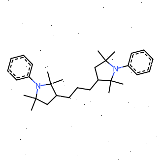 CC1(C)CC(CCCC2CC(C)(C)N(c3ccccc3)C2(C)C)C(C)(C)N1c1ccccc1